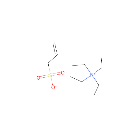 C=CCS(=O)(=O)[O-].CC[N+](CC)(CC)CC